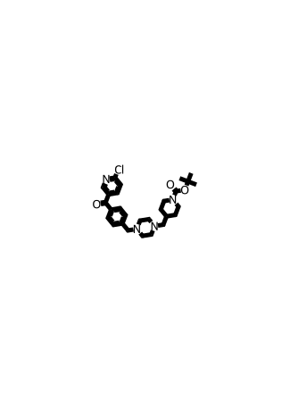 CC(C)(C)OC(=O)N1CCC(CN2CCN(Cc3ccc(C(=O)c4ccc(Cl)nc4)cc3)CC2)CC1